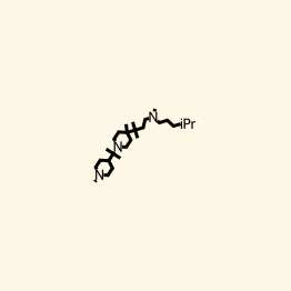 CC(C)CCCN(C)CCC(C)(C)C1(C)CCN(C(C)(C)C2CCN(C)CC2)CC1